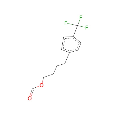 O=COCCCCc1ccc(C(F)(F)F)cc1